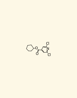 O=C(OC1CCCCC1)c1cc(Cl)nc(Cl)c1